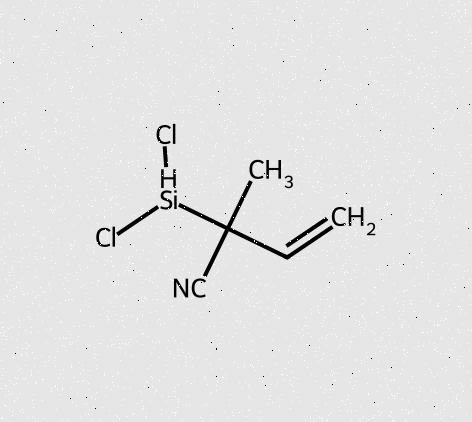 C=CC(C)(C#N)[SiH](Cl)Cl